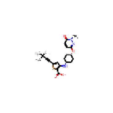 Cn1nc(O[C@H]2CC[C@@H](Nc3cc(C#CC(C)(C)C)sc3C(=O)O)CC2)ccc1=O